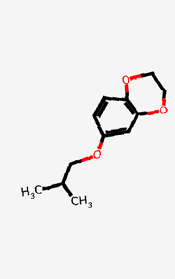 CC(C)COc1ccc2c(c1)OCCO2